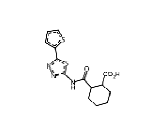 O=C(O)C1CCCCC1C(=O)Nc1nnc(-c2cccs2)s1